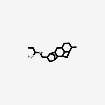 CCC(N)NCC1CC2CC1C1CC3CCC(C)C4CC(C34)C21